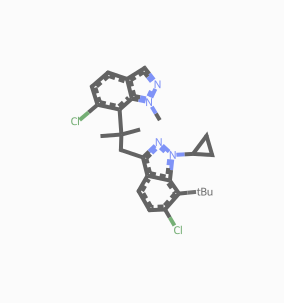 Cn1ncc2ccc(Cl)c(C(C)(C)Cc3nn(C4CC4)c4c(C(C)(C)C)c(Cl)ccc34)c21